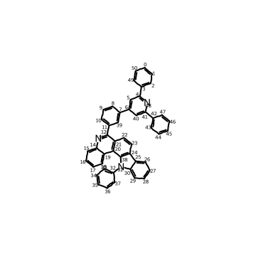 c1ccc(-c2cc(-c3cccc(-c4nc5ccccc5c5c4ccc4c6ccccc6n(-c6ccccc6)c45)c3)cc(-c3ccccc3)n2)cc1